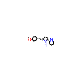 COc1ccc(CC[C@@H]2CC[C@H](c3ccccn3)N2)cc1